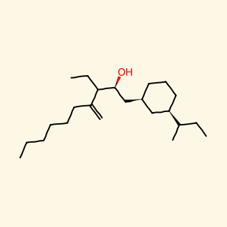 C=C(CCCCCC)C(CC)[C@@H](O)C[C@H]1CCC[C@@H](C(C)CC)C1